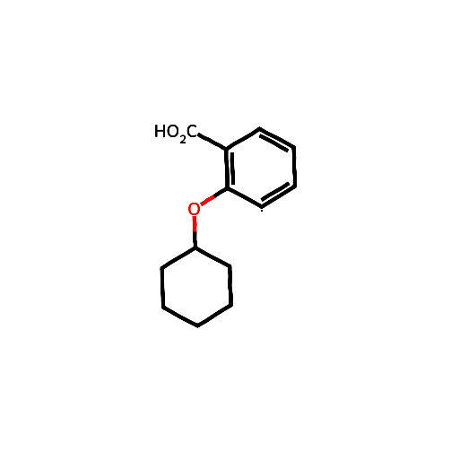 O=C(O)c1ccc[c]c1OC1CCCCC1